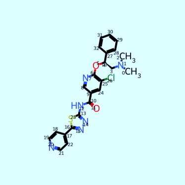 CN(C)C[C@@H](Oc1ncc(C(=O)Nc2nnc(-c3ccncc3)s2)cc1Cl)c1ccccc1